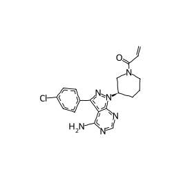 C=CC(=O)N1CCC[C@@H](n2nc(-c3ccc(Cl)cc3)c3c(N)ncnc32)C1